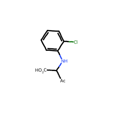 CC(=O)C(Nc1ccccc1Cl)C(=O)O